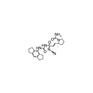 C[C@@]1(/C=C/S(=O)(=NC#N)NC(=O)Nc2c3c(cc4c2CCC4)CCC3)CCCN1C(N)=O